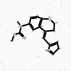 COC(=O)N(C)c1ccc2c(c1)/C(=C/C1=CCC=N1)CCO2